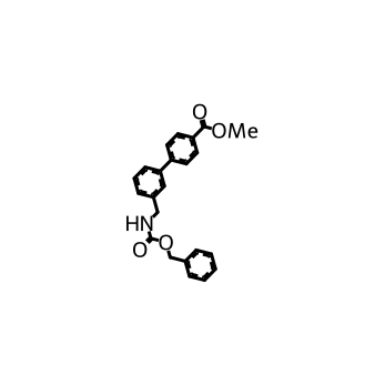 COC(=O)c1ccc(-c2cccc(CNC(=O)OCc3ccccc3)c2)cc1